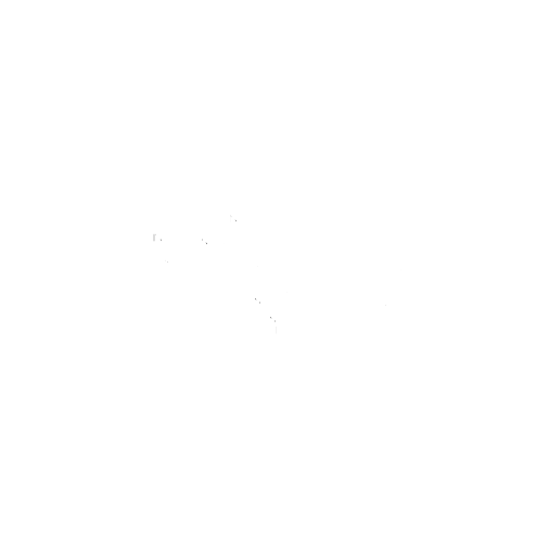 CC(C)Oc1ccc2[nH]nc(-c3ccnc(N4CCNC(=O)C4)c3)c2c1